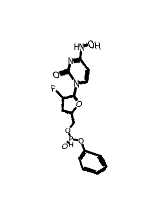 O=c1nc(NO)ccn1C1OC(CO[PH](=O)Oc2ccccc2)CC1F